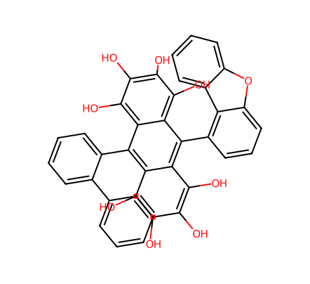 Oc1c(O)c(O)c2c(-c3cccc4oc5ccccc5c34)c3c(O)c(O)c(O)c(O)c3c(-c3ccccc3-c3ccccc3)c2c1O